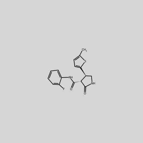 Cc1ccc([C@H]2CNC(=O)[C@@H]2C(=O)Nc2ccccc2F)s1